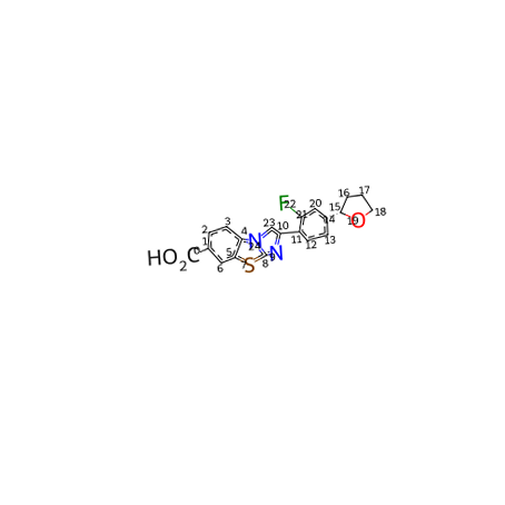 O=C(O)c1ccc2c(c1)sc1nc(-c3ccc([C@@H]4CCCO4)cc3F)cn12